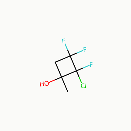 CC1(O)CC(F)(F)C1(F)Cl